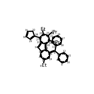 CCc1cc2c(c(=C(c3ccccc3)c3ccccc3)c1)=c1c(C(C)C)c(C(C)C)c(CC)c(C3=CC=CC3)c1=[C]2